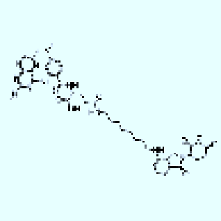 CN(Cc1cnc2nc(N)nc(N)c2n1)c1ccc(C(=O)NC(CCC(=O)NCCCCCCCCNc2cccc3c2CN(C2CCC(=O)NC2=O)C3=O)C(=O)O)cc1